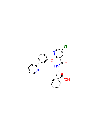 O=C(NCCC1(C(=O)O)C=CC=CC1)c1cc(Cl)cnc1Oc1cccc(-c2ccccn2)c1